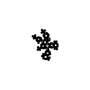 Cc1cc(C(C)(C)C)ccc1N1c2cc(C(C)(C)C)cc3c2B(c2cc4c(cc2N3c2ccc3c(c2)C(C)(C)CCC3(C)C)C(C)(C)CCC4(C)C)c2oc3ccc(C(C)(C)C)cc3c21